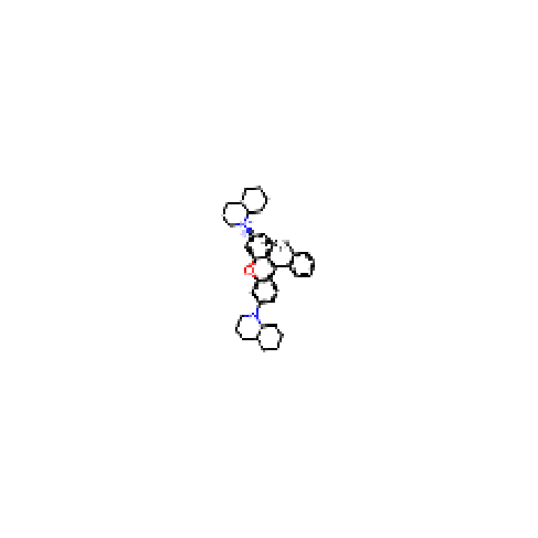 O=S(=O)(O)c1ccccc1-c1c2cc/c(=[N+]3/CCCC4CCCCC43)cc-2oc2cc(N3CCCC4CCCCC43)ccc12